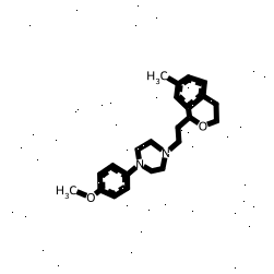 COc1ccc(N2CCN(CCC3OCCc4ccc(C)cc43)CC2)cc1